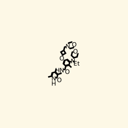 CCN(c1cc(OC2CC(CN3CCOCC3)C2)cc(C(=O)NCc2c(C)cc(C)[nH]c2=O)c1C)C1CCOCC1